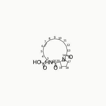 O=C(O)C1CCC=CCCCCCCC(=O)N2CCCC2C(=O)N1